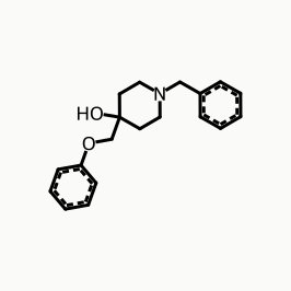 OC1(COc2ccccc2)CCN(Cc2ccccc2)CC1